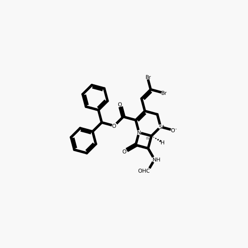 O=CNC1C(=O)N2C(C(=O)OC(c3ccccc3)c3ccccc3)=C(C=C(Br)Br)C[S+]([O-])[C@@H]12